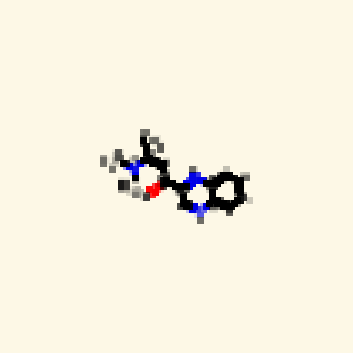 C/C(=C/C(=O)c1cnc2ccccc2n1)N(C)C